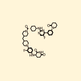 O=C1CCC(Nc2ccc(N3CCC(CC4CCN(C(=O)[C@H]5CC[C@H](Nc6ncc(F)c(-c7cccc(N8CCCCC8=O)c7)n6)CC5)CC4)CC3)c(F)c2)C(=O)N1